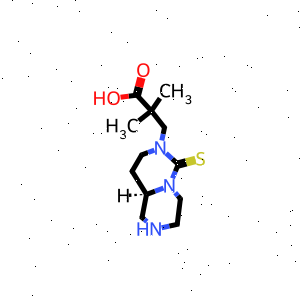 CC(C)(CN1CC[C@@H]2CNCCN2C1=S)C(=O)O